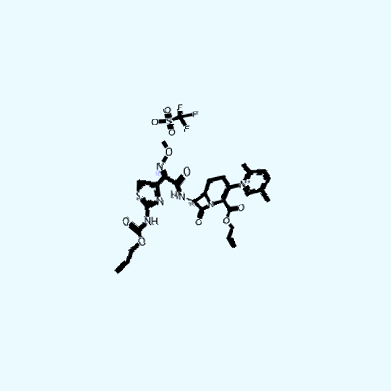 C=CCOC(=O)Nc1nc(/C(=N/OC)C(=O)N[C@H]2C(=O)N3C(C(=O)OCC=C)=C([n+]4cc(C)ccc4C)CCC23)cs1.O=S(=O)([O-])C(F)(F)F